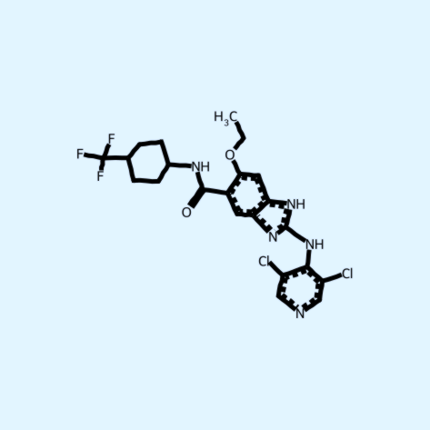 CCOc1cc2[nH]c(Nc3c(Cl)cncc3Cl)nc2cc1C(=O)NC1CCC(C(F)(F)F)CC1